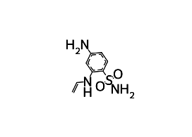 C=CNc1cc(N)ccc1S(N)(=O)=O